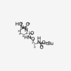 C[C@H](CONC(=O)[C@@H]1CCC2CN1C(=O)N2O)NC(=O)OC(C)(C)C